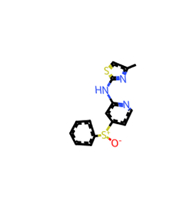 Cc1csc(Nc2cc([S+]([O-])c3ccccc3)ccn2)n1